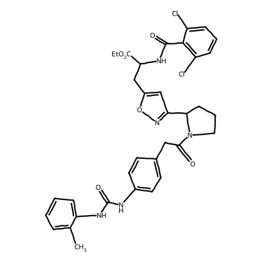 CCOC(=O)C(Cc1cc(C2CCCN2C(=O)Cc2ccc(NC(=O)Nc3ccccc3C)cc2)no1)NC(=O)c1c(Cl)cccc1Cl